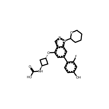 O=C(O)N[C@H]1C[C@H](Oc2cc(-c3ccc(O)cc3F)cc3c2cnn3C2CCCCO2)C1